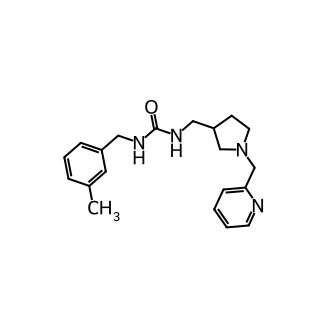 Cc1cccc(CNC(=O)NCC2CCN(Cc3ccccn3)C2)c1